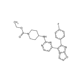 CCOC(=O)N1CCC(Nc2nccc(-c3c(-c4ccc(F)cc4)nc4occn34)n2)CC1